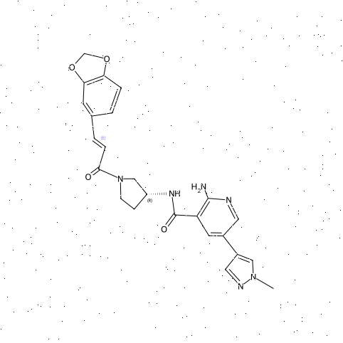 Cn1cc(-c2cnc(N)c(C(=O)N[C@@H]3CCN(C(=O)/C=C/c4ccc5c(c4)OCO5)C3)c2)cn1